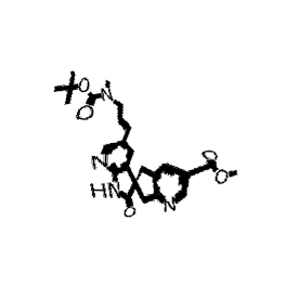 COC(=O)c1cnc2c(c1)C[C@@]1(C2)C(=O)Nc2ncc(/C=C/CN(C)C(=O)OC(C)(C)C)cc21